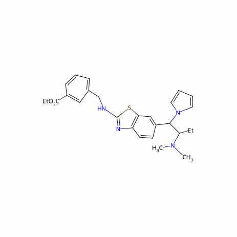 CCOC(=O)c1cccc(CNc2nc3ccc(C(C(CC)N(C)C)n4cccc4)cc3s2)c1